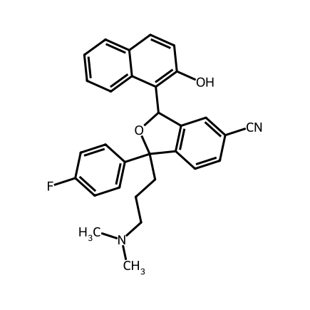 CN(C)CCCC1(c2ccc(F)cc2)OC(c2c(O)ccc3ccccc23)c2cc(C#N)ccc21